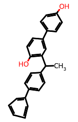 CC(c1ccc(-c2ccccc2)cc1)c1cc(-c2ccc(O)cc2)ccc1O